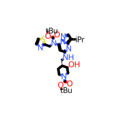 CC(C)c1cnn2c(N(Cc3nccs3)C(=O)OC(C)(C)C)cc(NC[C@H]3CCN(C(=O)OC(C)(C)C)C[C@@H]3O)nc12